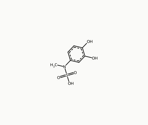 CN(c1ccc(O)c(O)c1)S(=O)(=O)O